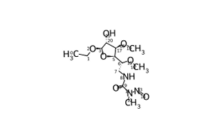 CCO[C@@H]1O[C@H]([C@@H](CNC(=O)N(C)N=O)OC)[C@H](OC)[C@H]1O